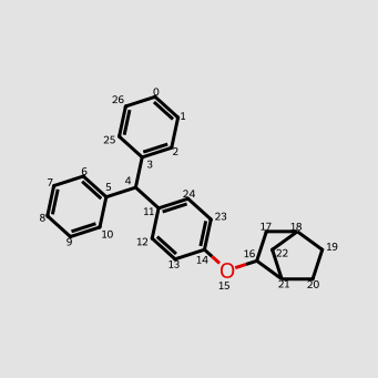 c1ccc(C(c2ccccc2)c2ccc(OC3CC4CCC3C4)cc2)cc1